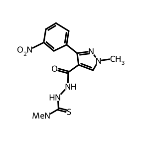 CNC(=S)NNC(=O)c1cn(C)nc1-c1cccc([N+](=O)[O-])c1